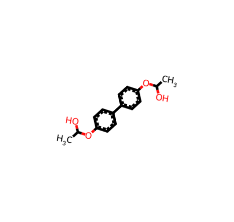 CC(O)Oc1ccc(-c2ccc(OC(C)O)cc2)cc1